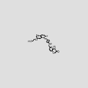 O=C1COc2ccc(CNC34CCC(CCn5c(=O)ccc6ncc(OCCO)cc65)(CC3)OC4)nc2N1